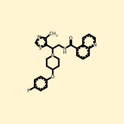 Cc1ncsc1C(CNC(=O)c1cccc2ncccc12)N1CCC(Oc2ccc(F)cc2)CC1